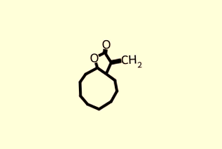 C=C1C(=O)OC2CCCCCCCCC12